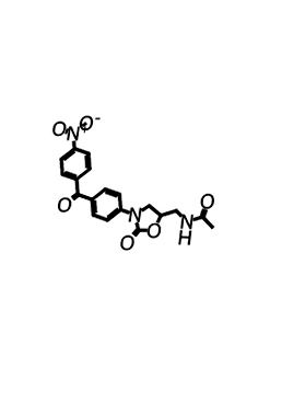 CC(=O)NCC1CN(c2ccc(C(=O)c3ccc([N+](=O)[O-])cc3)cc2)C(=O)O1